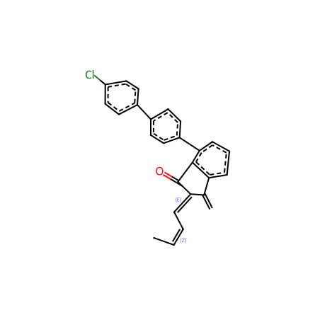 C=C1/C(=C\C=C/C)C(=O)c2c1cccc2-c1ccc(-c2ccc(Cl)cc2)cc1